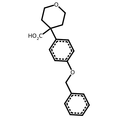 O=C(O)C1(c2ccc(OCc3ccccc3)cc2)CCOCC1